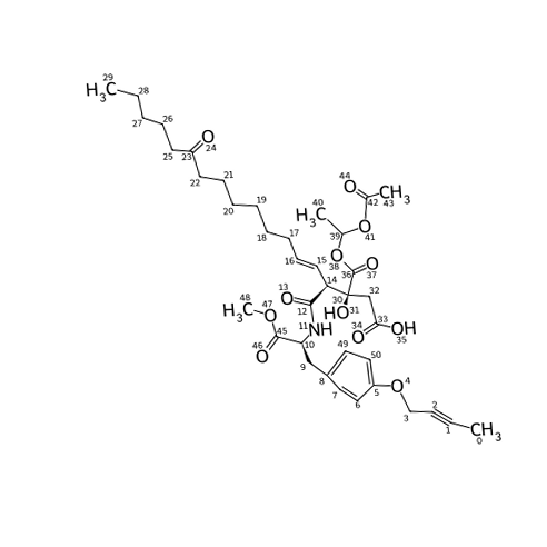 CC#CCOc1ccc(C[C@H](NC(=O)[C@@H](/C=C/CCCCCCC(=O)CCCCC)[C@@](O)(CC(=O)O)C(=O)OC(C)OC(C)=O)C(=O)OC)cc1